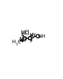 Cc1cn2cc(-c3cc(F)c4cc(C5CCNCC5)nnc4c3)cc(F)c2n1.Cl.Cl